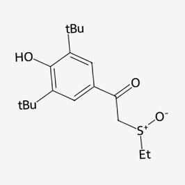 CC[S+]([O-])CC(=O)c1cc(C(C)(C)C)c(O)c(C(C)(C)C)c1